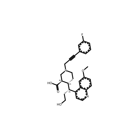 COc1ccc2nccc([C@H](CCO)[C@H]3CCN(CC#Cc4cccc(F)c4)C[C@@H]3C(=O)O)c2c1